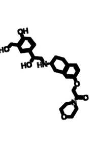 O=C(COc1ccc2c(c1)C[C@@H](NCC(O)c1ccc(O)c(CO)c1)CC2)N1CCOCC1